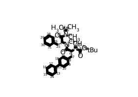 CN(C(=O)OC(C)(C)C)[C@H](Cc1ccc(-c2ccccc2)cc1)C(=O)N(C)[C@H](Cc1ccccc1)C(=O)N(C)N(C)C